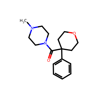 CN1CCN(C(=O)C2(c3ccccc3)CCOCC2)CC1